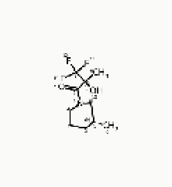 C[C@@H]1CCCN(C(=O)[C@@](C)(O)C(F)(F)F)C1